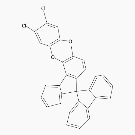 Clc1cc2c(cc1Cl)Oc1c(ccc3c1-c1ccccc1C31c3ccccc3-c3ccccc31)O2